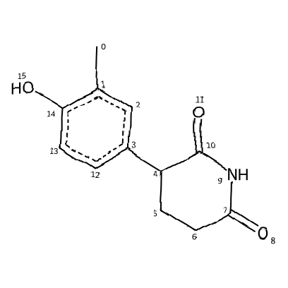 Cc1cc(C2CCC(=O)NC2=O)ccc1O